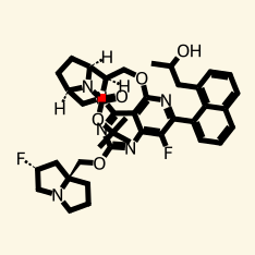 CC(O)Cc1cccc2cccc(-c3nc4c5c(nc(OC[C@@]67CCCN6C[C@H](F)C7)nc5c3F)N3C[C@H]5CC[C@@H]([C@H]3CO4)N5C(=O)OC(C)(C)C)c12